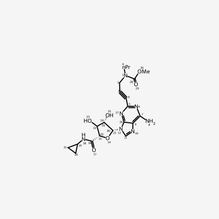 CCCN(CC#Cc1nc(N)c2ncn([C@@H]3O[C@H](C(=O)NC4CC4)C(O)[C@@H]3O)c2n1)C(=O)OC